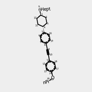 CCCCCCC[C@H]1CC[C@H](c2ccc(C#Cc3ccc(OCCC)cc3)cc2)CC1